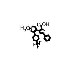 CN1CCC(c2cc(-c3ccccc3)sc2C(=O)O)=C(C2CCC(C(F)(F)F)CC2)C1